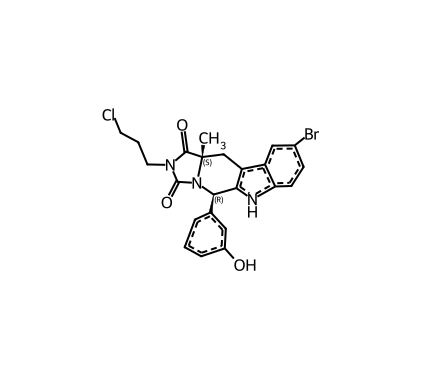 C[C@@]12Cc3c([nH]c4ccc(Br)cc34)[C@@H](c3cccc(O)c3)N1C(=O)N(CCCCl)C2=O